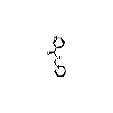 O=C(NCN1C=CC=CC1)c1cccnc1